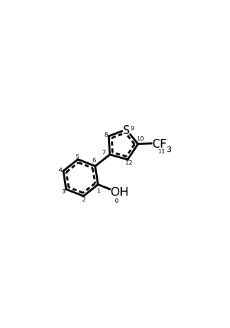 Oc1ccccc1-c1csc(C(F)(F)F)c1